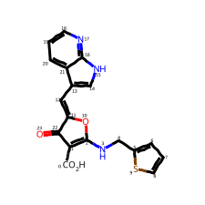 O=C(O)C1=C(NCc2cccs2)OC(=Cc2c[nH]c3ncccc23)C1=O